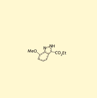 CCOC(=O)c1[nH]nc2c(OC)cccc12